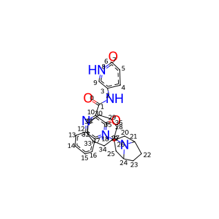 O=C(Nc1ccc(=O)[nH]c1)c1nc2ccccc2n(C2CC3CCC(C2)N3C2CCCCCCC2)c1=O